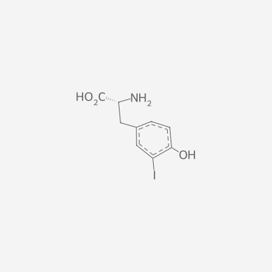 N[C@H](Cc1ccc(O)c(I)c1)C(=O)O